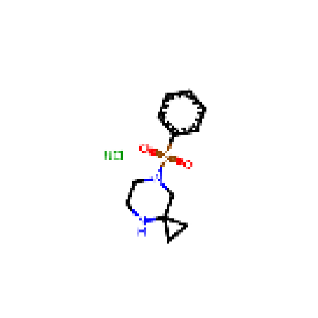 Cl.O=S(=O)(c1ccccc1)N1CCNC2(CC2)C1